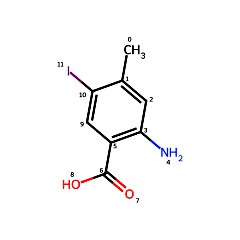 Cc1cc(N)c(C(=O)O)cc1I